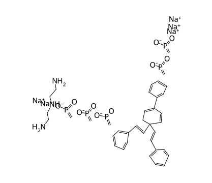 C1=CC(C=Cc2ccccc2)(C=Cc2ccccc2)CC=C1c1ccccc1.C=P(=O)[O-].C=P(=O)[O-].C=P(=O)[O-].C=P(=O)[O-].C=P(=O)[O-].NCCNCCN.[Na+].[Na+].[Na+].[Na+].[Na+]